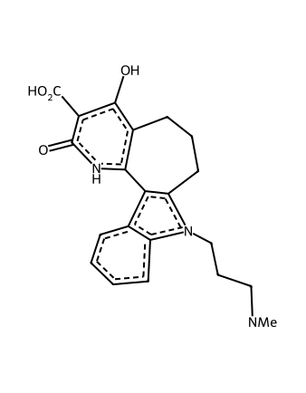 CNCCCn1c2c(c3ccccc31)-c1[nH]c(=O)c(C(=O)O)c(O)c1CCC2